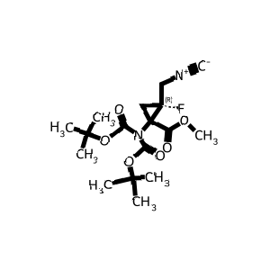 [C-]#[N+]C[C@]1(F)CC1(C(=O)OC)N(C(=O)OC(C)(C)C)C(=O)OC(C)(C)C